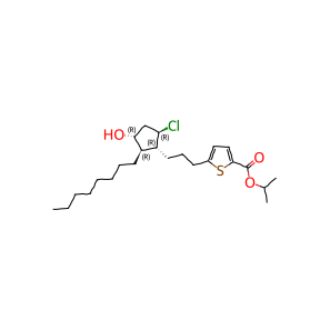 CCCCCCCC[C@@H]1[C@@H](CCCc2ccc(C(=O)OC(C)C)s2)[C@H](Cl)C[C@H]1O